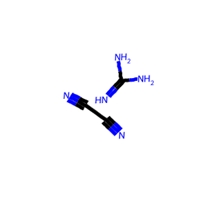 N#CC#N.N=C(N)N